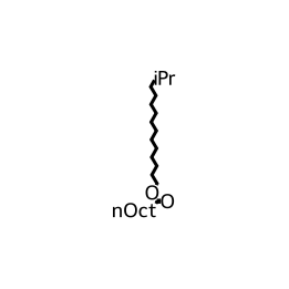 CCCCCCCCC(=O)OCCCCCCCCCCCCC(C)C